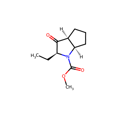 CC[C@H]1C(=O)[C@H]2CCC[C@H]2N1C(=O)OC